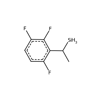 CC([SiH3])c1c(F)ccc(F)c1F